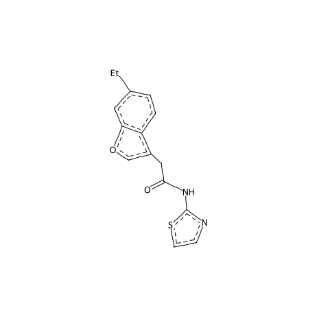 CCc1ccc2c(CC(=O)Nc3nccs3)coc2c1